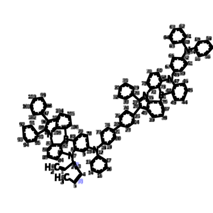 C=C/C(=C\C=C/C)N1c2cc(N(c3ccccc3)c3ccc(-c4ccc(-c5c(-c6ccccc6)n6c7c(cccc57)B5c7ccccc7N(c7ccc(N(c8ccccc8)c8ccccc8)cc7)c7cccc-6c75)cc4)cc3)ccc2B2c3c1cccc3-n1c(-c3ccccc3)c(-c3ccccc3)c3cccc2c31